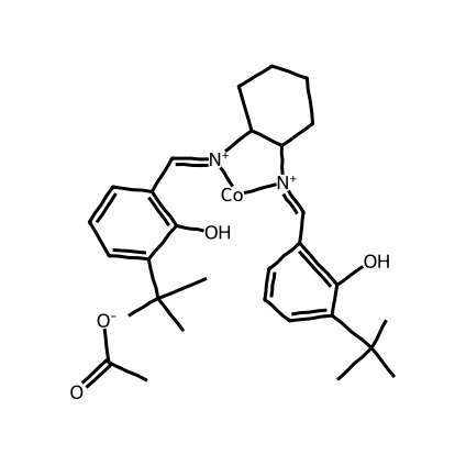 CC(=O)[O-].CC(C)(C)c1cccc(C=[N+]2[Co][N+](=Cc3cccc(C(C)(C)C)c3O)C3CCCCC32)c1O